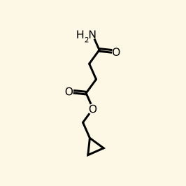 NC(=O)CCC(=O)OCC1CC1